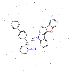 N=C1C=CC=C/C1=C(/C=C/n1c2ccccc2c2c3oc4ccccc4c3ccc21)c1ccc(-c2ccccc2)cc1